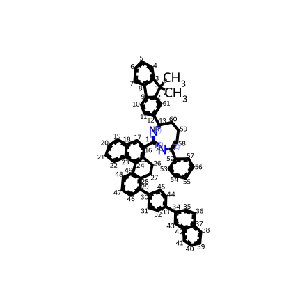 CC1(C)c2ccccc2-c2ccc(/C3=N/C(c4cc5ccccc5c5c4CCc4c(-c6ccc(-c7ccc8ccccc8c7)cc6)cccc4-5)=N\C(c4ccccc4)=C/CC3)cc21